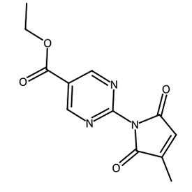 CCOC(=O)c1cnc(N2C(=O)C=C(C)C2=O)nc1